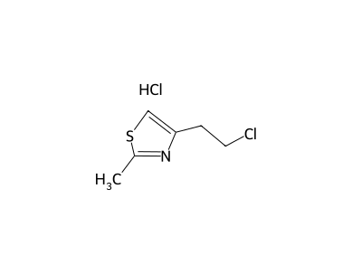 Cc1nc(CCCl)cs1.Cl